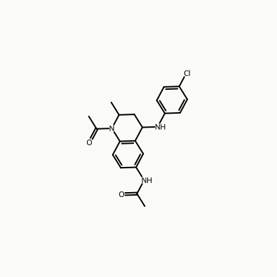 CC(=O)Nc1ccc2c(c1)C(Nc1ccc(Cl)cc1)CC(C)N2C(C)=O